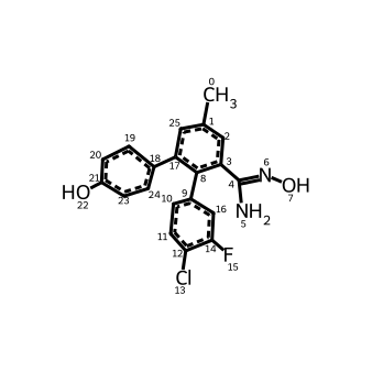 Cc1cc(/C(N)=N/O)c(-c2ccc(Cl)c(F)c2)c(-c2ccc(O)cc2)c1